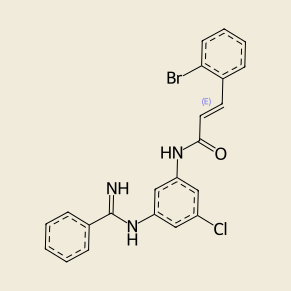 N=C(Nc1cc(Cl)cc(NC(=O)/C=C/c2ccccc2Br)c1)c1ccccc1